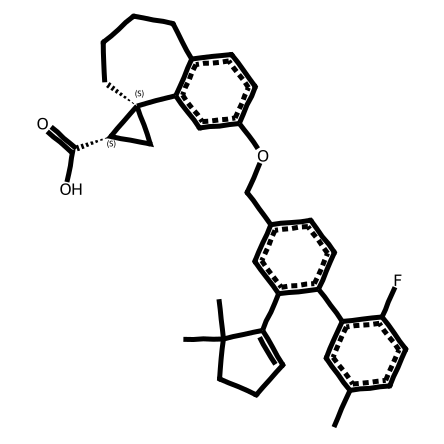 Cc1ccc(F)c(-c2ccc(COc3ccc4c(c3)[C@@]3(CCCC4)C[C@@H]3C(=O)O)cc2C2=CCCC2(C)C)c1